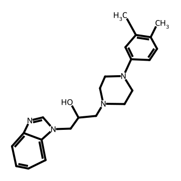 Cc1ccc(N2CCN(CC(O)Cn3cnc4ccccc43)CC2)cc1C